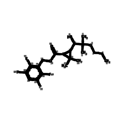 CCCOC(C)(C)C(O)C1C(C(=O)OCc2c(F)c(F)cc(F)c2F)C1(C)C